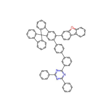 c1ccc(-c2nc(-c3ccccc3)nc(-c3cccc(-c4ccc(-c5cc6c(cc5-c5ccc7c(c5)oc5ccccc57)-c5ccccc5C65c6ccccc6-c6ccccc65)cc4)c3)n2)cc1